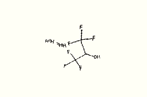 OC(C(F)(F)F)C(F)(F)F.[2HH].[2HH]